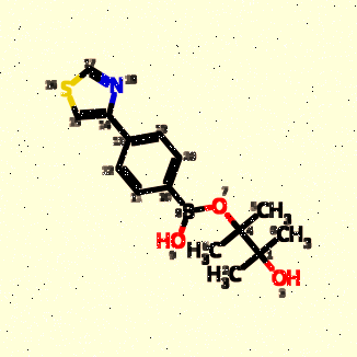 CC(C)(O)C(C)(C)OB(O)c1ccc(-c2cscn2)cc1